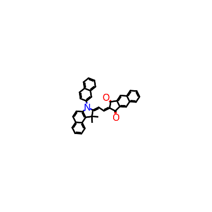 CC1(C)/C(=C\C=C2C(=O)c3cc4ccccc4cc3C2=O)N(c2ccc3ccccc3c2)c2ccc3ccccc3c21